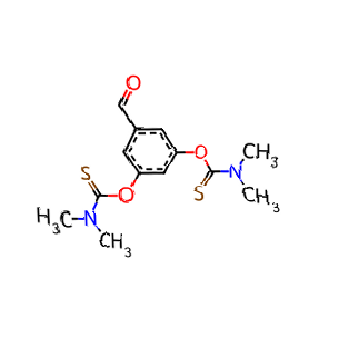 CN(C)C(=S)Oc1cc(C=O)cc(OC(=S)N(C)C)c1